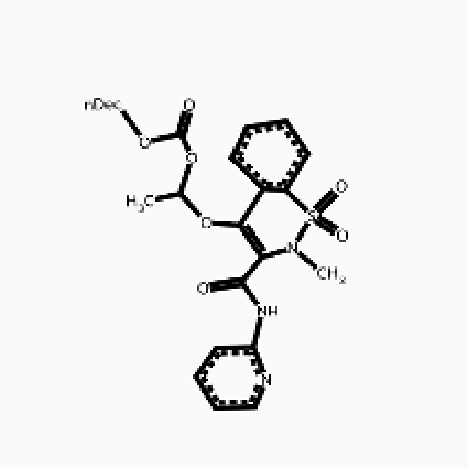 CCCCCCCCCCOC(=O)OC(C)OC1=C(C(=O)Nc2ccccn2)N(C)S(=O)(=O)c2ccccc21